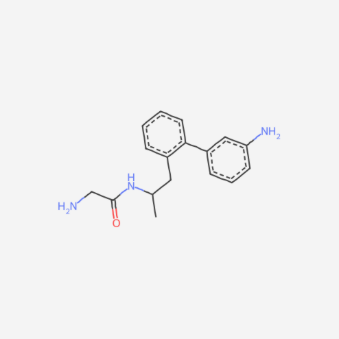 CC(Cc1ccccc1-c1cccc(N)c1)NC(=O)CN